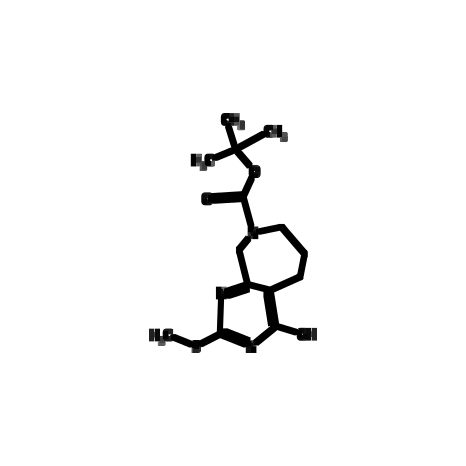 CSc1nc(O)c2c(n1)CN(C(=O)OC(C)(C)C)CCC2